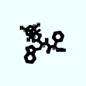 CO[C@@H](C(=O)N[C@@H](Cc1coc2ccccc12)B1O[C@@H]2C[C@@H]3C[C@@H](C3(C)C)[C@]2(C)O1)c1ccccc1